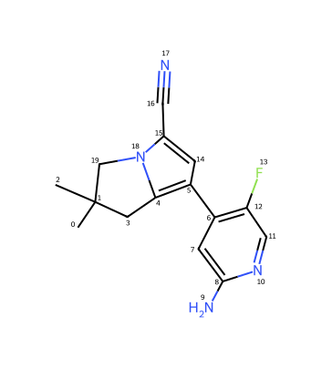 CC1(C)Cc2c(-c3cc(N)ncc3F)cc(C#N)n2C1